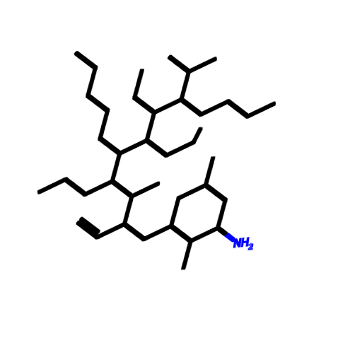 C=CC(CC1CC(C)CC(N)C1C)C(C)C(CCC)C(CCCCC)C(CCC)C(CC)C(CCCC)C(C)C